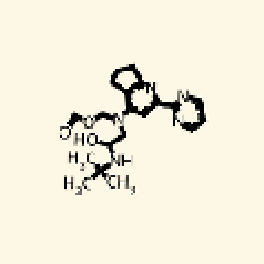 CC(C)(C)NC(O)CN(COC=O)c1cc(-c2ncccn2)nc2c1CCC2